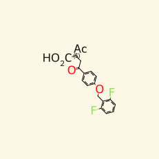 CC(=O)[C@H](CC(=O)c1ccc(OCc2c(F)cccc2F)cc1)C(=O)O